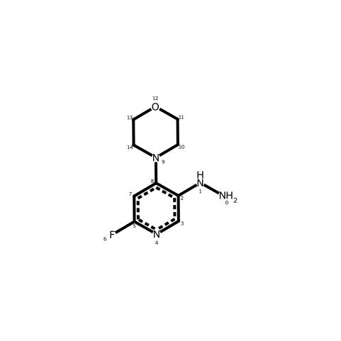 NNc1cnc(F)cc1N1CCOCC1